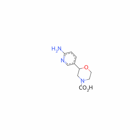 Nc1ccc(C2CN(C(=O)O)CCO2)cn1